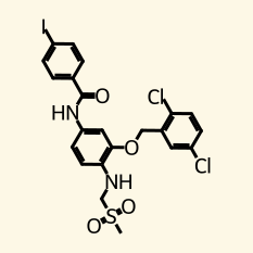 CS(=O)(=O)CNc1ccc(NC(=O)c2ccc(I)cc2)cc1OCc1cc(Cl)ccc1Cl